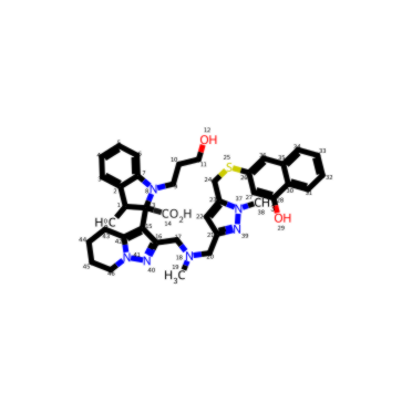 CC1c2ccccc2N(CCCO)C1(C(=O)O)c1c(CN(C)Cc2cc(CSc3cc(O)c4ccccc4c3)n(C)n2)nn2c1CCCC2